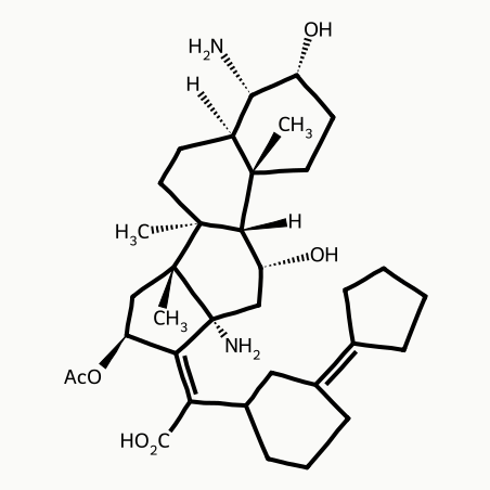 CC(=O)O[C@H]1C[C@@]2(C)[C@@](N)(C[C@@H](O)[C@H]3[C@@]4(C)CC[C@@H](O)[C@@H](N)[C@@H]4CC[C@@]32C)/C1=C(/C(=O)O)C1CCCC(=C2CCCC2)C1